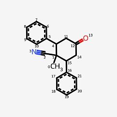 CC1(C#N)C(c2ccccc2)CC(=O)CC1c1ccccc1